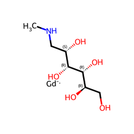 CNC[C@H](O)[C@@H](O)[C@H](O)[C@H](O)CO.[Gd-]